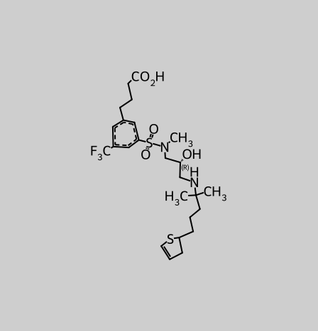 CN(C[C@H](O)CNC(C)(C)CCCC1CC=CS1)S(=O)(=O)c1cc(CCCC(=O)O)cc(C(F)(F)F)c1